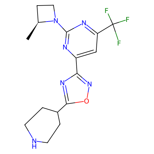 C[C@H]1CCN1c1nc(-c2noc(C3CCNCC3)n2)cc(C(F)(F)F)n1